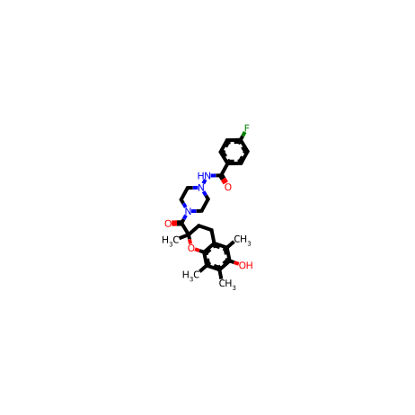 Cc1c(C)c2c(c(C)c1O)CCC(C)(C(=O)N1CCN(NC(=O)c3ccc(F)cc3)CC1)O2